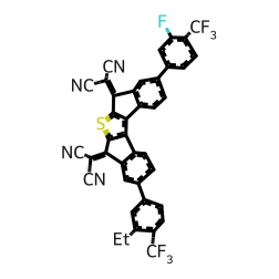 CCc1cc(-c2ccc3c(c2)C(=C(C#N)C#N)c2sc4c(c2-3)-c2ccc(-c3ccc(C(F)(F)F)c(F)c3)cc2C4=C(C#N)C#N)ccc1C(F)(F)F